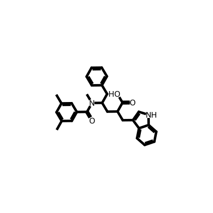 Cc1cc(C)cc(C(=O)N(C)C(Cc2ccccc2)CC(Cc2c[nH]c3ccccc23)C(=O)O)c1